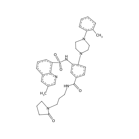 Cc1cnc2c(S(=O)(=O)Nc3cc(C(=O)NCCCN4CCCC4=O)ccc3N3CCN(c4ccccc4C)CC3)cccc2c1